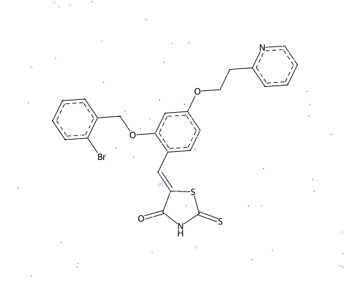 O=C1NC(=S)S/C1=C\c1ccc(OCCc2ccccn2)cc1OCc1ccccc1Br